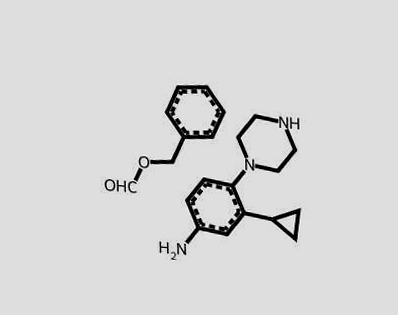 Nc1ccc(N2CCNCC2)c(C2CC2)c1.O=COCc1ccccc1